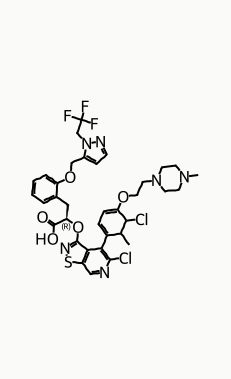 CC1C(c2c(Cl)ncc3snc(O[C@H](Cc4ccccc4OCc4ccnn4CC(F)(F)F)C(=O)O)c23)=CC=C(OCCN2CCN(C)CC2)C1Cl